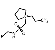 CCC[N+]1(CS(=O)(=O)NCF)CCCC1